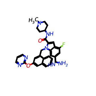 CN1CCC(NC(=O)c2cc3c(F)cc(C(=N)N)cc3n2Cc2cc(Oc3ncccn3)cc3ccccc23)CC1